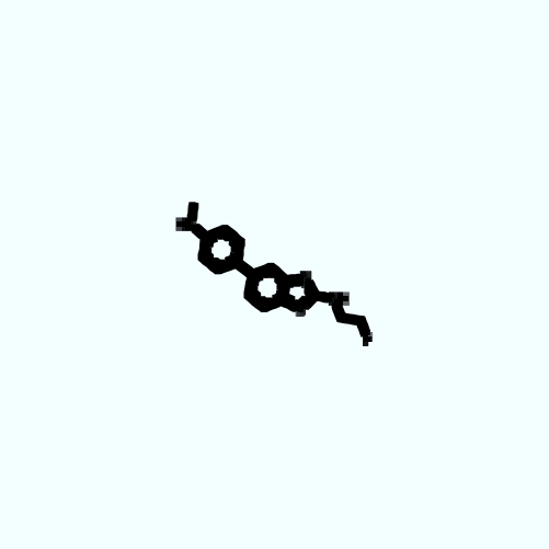 CNc1ccc(-c2ccc3sc(NCCF)nc3c2)cc1